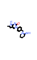 Cc1cc2cn(-c3ccc(CN4CCCCC4=N)cc3)c(=O)nc2[nH]1